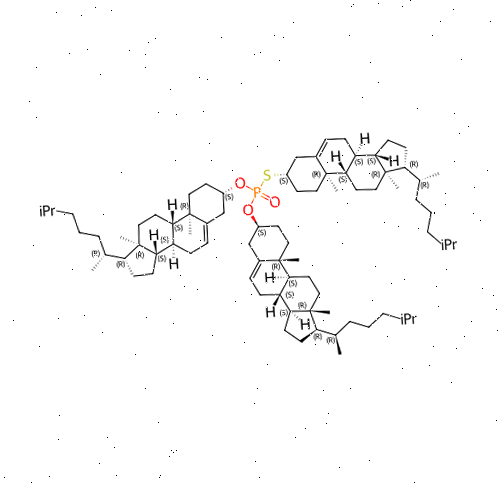 CC(C)CCC[C@@H](C)[C@H]1CC[C@H]2[C@@H]3CC=C4C[C@@H](OP(=O)(O[C@H]5CC[C@@]6(C)C(=CC[C@H]7[C@@H]8CC[C@H]([C@H](C)CCCC(C)C)[C@@]8(C)CC[C@@H]76)C5)S[C@H]5CC[C@@]6(C)C(=CC[C@H]7[C@@H]8CC[C@H]([C@H](C)CCCC(C)C)[C@@]8(C)CC[C@@H]76)C5)CC[C@]4(C)[C@H]3CC[C@]12C